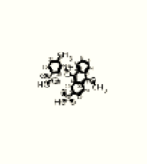 COc1c2ccccc2c(OC)c2cc(S(=O)(=O)O)ccc12.Cc1ccc(S(=O)(=O)O)cc1